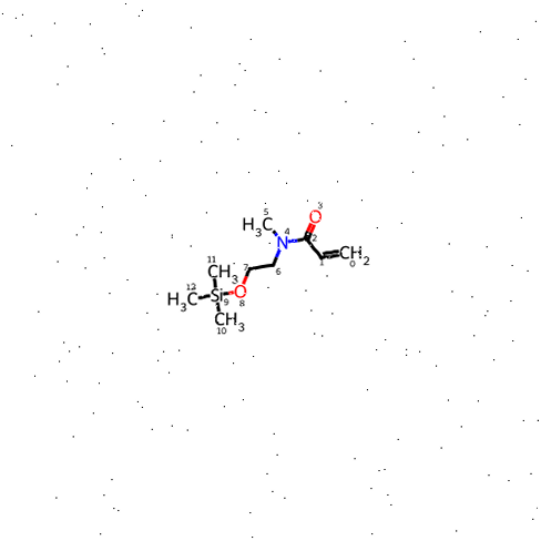 C=CC(=O)N(C)CCO[Si](C)(C)C